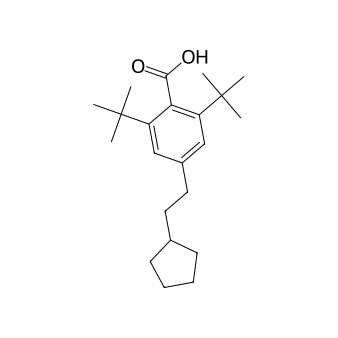 CC(C)(C)c1cc(CCC2CCCC2)cc(C(C)(C)C)c1C(=O)O